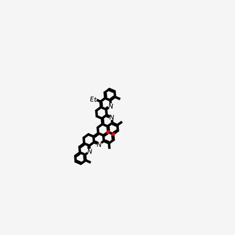 CCc1c2c(nc3c(C)cccc13)-c1nc3c(C)cccc3c(Cc3c4c(nc5c(C)cccc35)-c3nc5c(C)cccc5cc3CC4)c1CC2